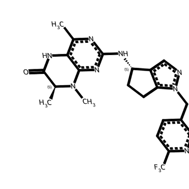 Cc1nc(N[C@H]2CCc3c2cnn3Cc2ccc(C(F)(F)F)nc2)nc2c1NC(=O)[C@H](C)N2C